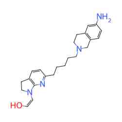 Nc1ccc2c(c1)CCN(CCCCCc1ccc3c(n1)N(/C=C\O)CC3)C2